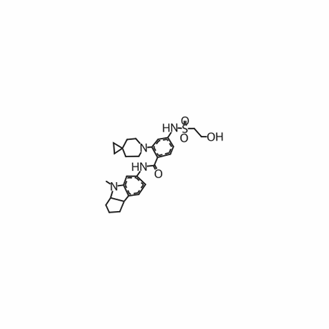 CN1c2cc(NC(=O)c3ccc(NS(=O)(=O)CCO)cc3N3CCC4(CC3)CC4)ccc2C2CCCC21